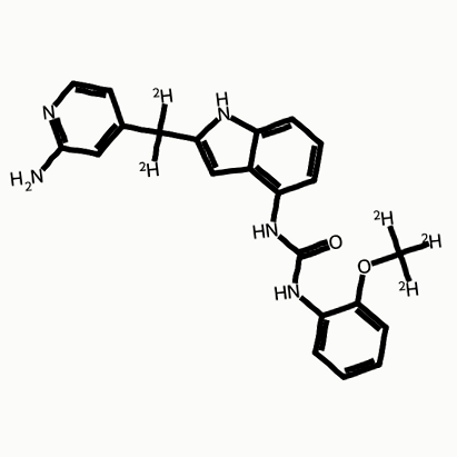 [2H]C([2H])([2H])Oc1ccccc1NC(=O)Nc1cccc2[nH]c(C([2H])([2H])c3ccnc(N)c3)cc12